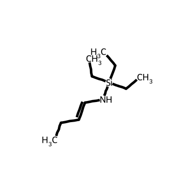 CCC=CN[Si](CC)(CC)CC